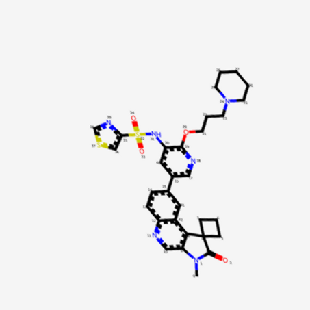 CN1C(=O)C2(CCC2)c2c1cnc1ccc(-c3cnc(OCCCN4CCCCC4)c(NS(=O)(=O)c4cscn4)c3)cc21